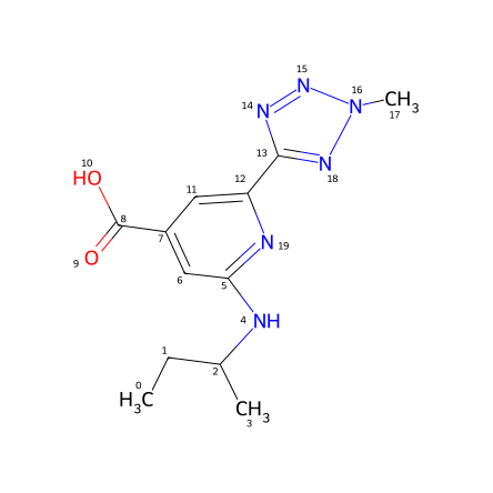 CCC(C)Nc1cc(C(=O)O)cc(-c2nnn(C)n2)n1